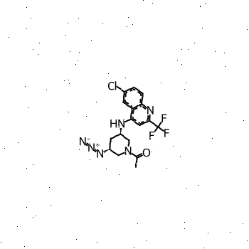 CC(=O)N1C[C@@H](N=[N+]=[N-])C[C@@H](Nc2cc(C(F)(F)F)nc3ccc(Cl)cc23)C1